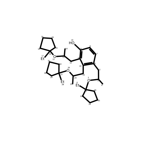 CCC1(OC(C)Cc2ccc(O)c(CC(C)OC3(CC)CCCC3)c2CC(C)OC2(CC)CCCC2)CCCC1